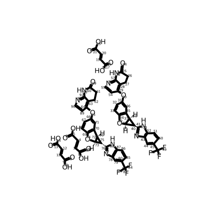 O=C(O)/C=C/C(=O)O.O=C(O)/C=C/C(=O)O.O=C(O)/C=C/C(=O)O.O=C1CCc2c(Oc3ccc4c(c3)[C@@H]3[C@H](O4)[C@H]3c3nc4cc(C(F)(F)F)ccc4[nH]3)ccnc2N1.O=C1CCc2c(Oc3ccc4c(c3)[C@@H]3[C@H](O4)[C@H]3c3nc4cc(C(F)(F)F)ccc4[nH]3)ccnc2N1